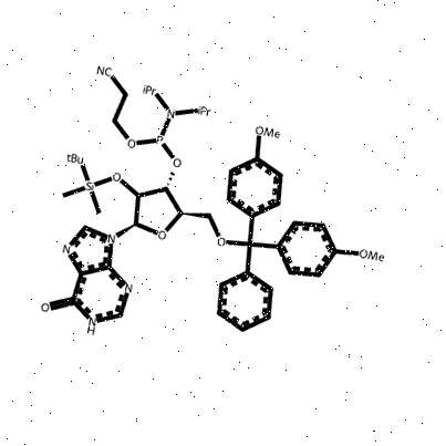 COc1ccc(C(OC[C@H]2O[C@@H](n3cnc4c(=O)[nH]cnc43)C(O[Si](C)(C)C(C)(C)C)[C@@H]2OP(OCCC#N)N(C(C)C)C(C)C)(c2ccccc2)c2ccc(OC)cc2)cc1